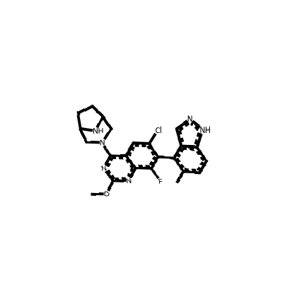 COc1nc(N2CC3CCC(C2)N3)c2cc(Cl)c(-c3c(C)ccc4[nH]ncc34)c(F)c2n1